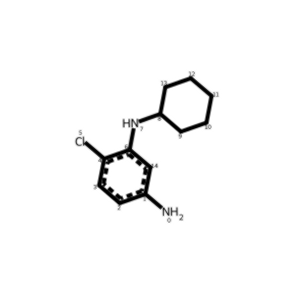 Nc1ccc(Cl)c(NC2CCCCC2)c1